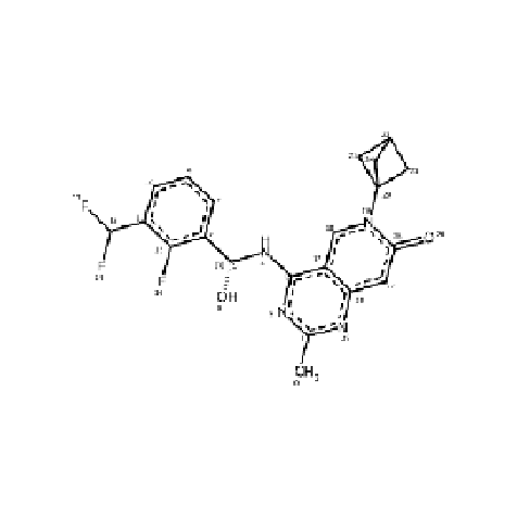 Cc1nc(N[C@H](O)c2cccc(C(F)F)c2F)c2cn(C34CC(C3)C4)c(=O)cc2n1